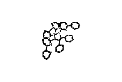 c1ccc(C2=C(c3ccccc3)N(c3cccc(-c4ccccc4)n3)[Si]3(c4ncccc4-c4cccnc43)N2c2cccc(-c3ccccc3)n2)cc1